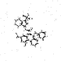 CCc1ccc(-c2cccnc2[C@H](Cc2ccccc2)NC(=O)Cn2nc(C(F)(F)F)c3c2CCCC3)c(C)c1